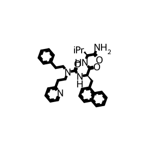 CC(C)[C@H](NC(=O)[C@@H](Cc1cccc2ccccc12)NC(=O)N(CCc1ccccc1)CCc1ccccn1)C(N)=O